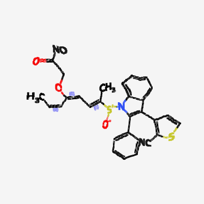 C\C=C/C(=C\C=C(/C)[S+]([O-])n1c(-c2ccccc2)c(-c2ccsc2C#N)c2ccccc21)OCC(=O)N=O